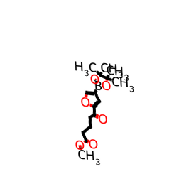 COC(=O)CCCC(=O)c1cc(B2OC(C)(C)C(C)(C)O2)co1